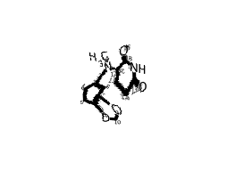 CN(Cc1ccc2c(c1)OCO2)[C@@H]1CCC(=O)NC1=O